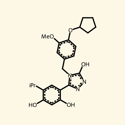 COc1cc(Cn2c(O)nnc2-c2cc(C(C)C)c(O)cc2O)ccc1OC1CCCC1